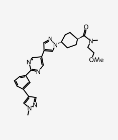 COCCN(C)C(=O)[C@H]1CC[C@H](n2cc(-c3cnc(-c4cccc(-c5cnn(C)c5)c4)nc3)cn2)CC1